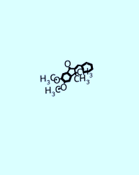 COc1cc2c(cc1OC)C(C)(C)/C(=C\c1ccccc1)C2=O